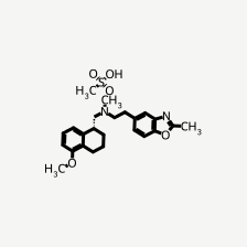 COc1cccc2c1CCC[C@H]2CN(C)CCc1ccc2oc(C)nc2c1.CS(=O)(=O)O